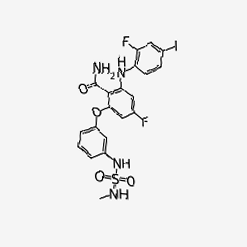 CNS(=O)(=O)Nc1cccc(Oc2cc(F)cc(Nc3ccc(I)cc3F)c2C(N)=O)c1